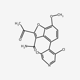 COc1ccc(-c2c(Cl)cncc2Cl)c2c(C(N)=O)c(C(C)=O)oc12